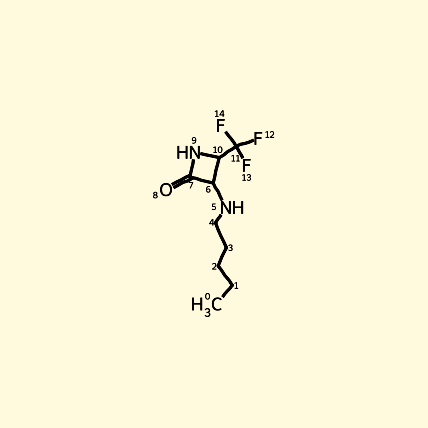 CCCCCNC1C(=O)NC1C(F)(F)F